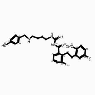 N=C(NCCCCNCc1ccc(S)cc1)NC(=O)c1cccc(F)c1CCc1cc(Br)ccc1C=O